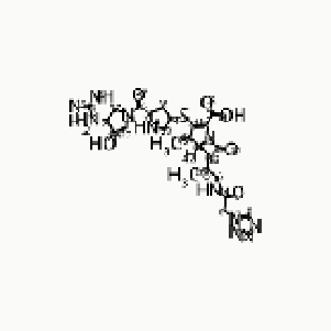 C[C@@H](CNC(=O)Cn1cnnn1)[C@H]1C(=O)N2C(C(=O)O)=C(S[C@@H]3CN[C@H](C(=O)N4C[C@H](O)[C@H](NC(=N)N)C4)C3)[C@H](C)[C@H]12